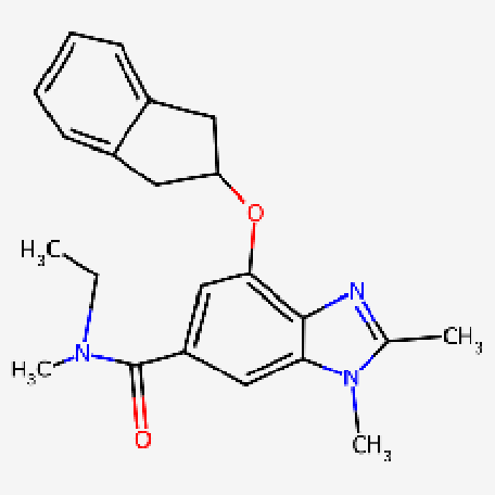 CCN(C)C(=O)c1cc(OC2Cc3ccccc3C2)c2nc(C)n(C)c2c1